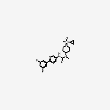 CN(C(=O)Nc1cnc(-c2cc(F)cc(F)c2)nc1)C1CCN([SH](C)(=O)C2CC2)CC1